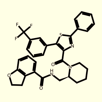 O=C(NC[C@@H]1CCCCN1C(=O)c1nc(-c2ccccc2)sc1-c1cccc(C(F)(F)F)c1)c1cccc2c1CCO2